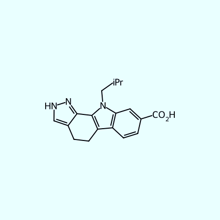 CC(C)Cn1c2c(c3ccc(C(=O)O)cc31)CCc1c[nH]nc1-2